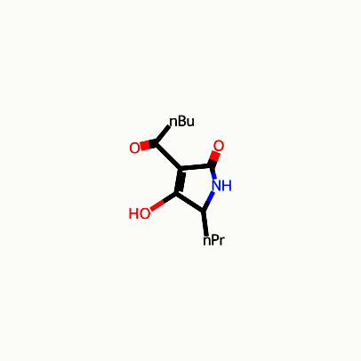 CCCCC(=O)C1=C(O)C(CCC)NC1=O